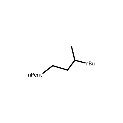 [CH2]CCCCCCC([CH2])CCCC